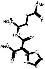 COC(=O)CCC(NC(=O)C(C(=O)OC)=C1SC=CS1)C(=O)O